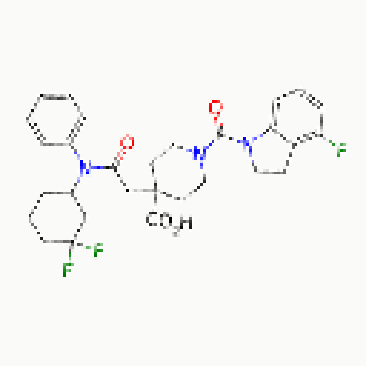 O=C(N1CCC(CC(=O)N(c2ccccc2)C2CCCC(F)(F)C2)(C(=O)O)CC1)N1CCc2c(F)cccc21